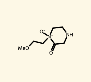 COCC[N+]1([O-])CCNCC1=O